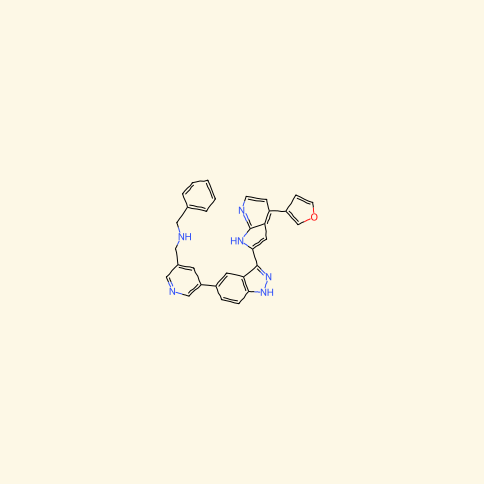 c1ccc(CNCc2cncc(-c3ccc4[nH]nc(-c5cc6c(-c7ccoc7)ccnc6[nH]5)c4c3)c2)cc1